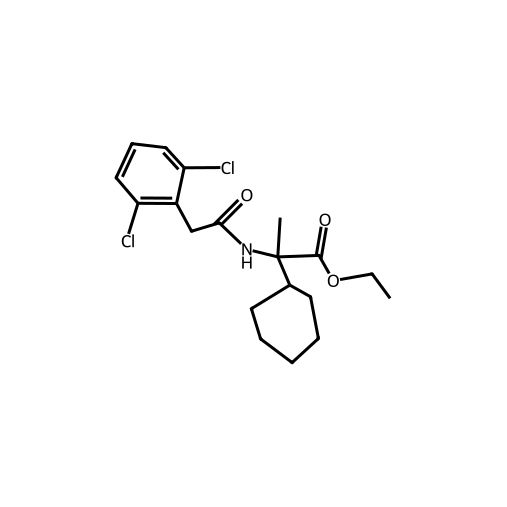 CCOC(=O)C(C)(NC(=O)Cc1c(Cl)cccc1Cl)C1CCCCC1